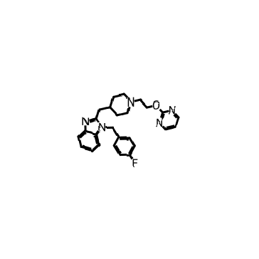 Fc1ccc(Cn2c(CC3CCN(CCOc4ncccn4)CC3)nc3ccccc32)cc1